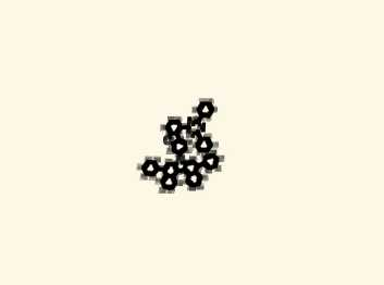 c1ccc(-c2nc(-c3ccccc3)nc(-c3cccc4oc5cc(-n6c7cc(-c8ccccc8)c8ccccc8c7c7c8ccccc8c(-c8ccccc8)cc76)ccc5c34)n2)cc1